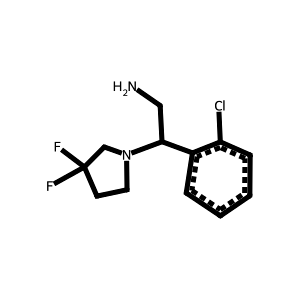 NCC(c1ccccc1Cl)N1CCC(F)(F)C1